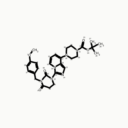 COc1ccc(CN2C(=O)CCN(c3ncc4c(N5CCN(C(=O)OC(C)(C)C)CC5)cccn34)C2=O)cc1